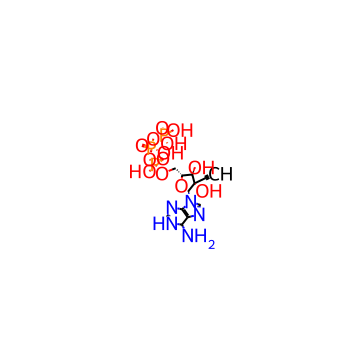 C#C[C@@]1(O)[C@H](O)[C@@H](COP(=O)(O)OP(=O)(O)OP(=O)(O)O)O[C@H]1n1cnc2c1N=CNC2N